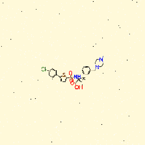 CN1CCN(Cc2cccc([C@@H]3C[C@]3(NS(=O)(=O)c3ccc(-c4ccc(Cl)cc4)s3)C(=O)O)c2)CC1